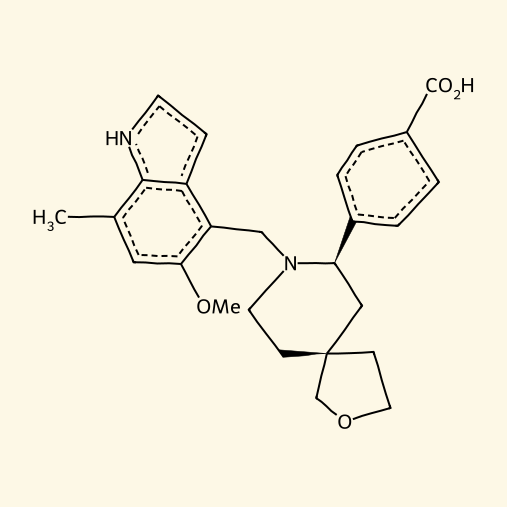 COc1cc(C)c2[nH]ccc2c1CN1CC[C@]2(CCOC2)C[C@@H]1c1ccc(C(=O)O)cc1